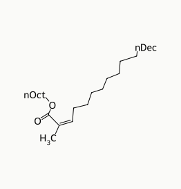 CCCCCCCCCCCCCCCCCCC=C(C)C(=O)OCCCCCCCC